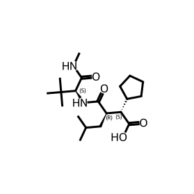 CNC(=O)[C@@H](NC(=O)[C@H](CC(C)C)[C@@H](C(=O)O)C1CCCC1)C(C)(C)C